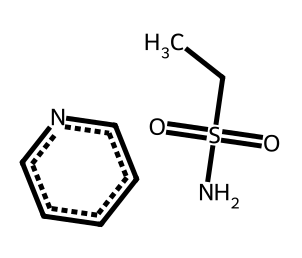 CCS(N)(=O)=O.c1ccncc1